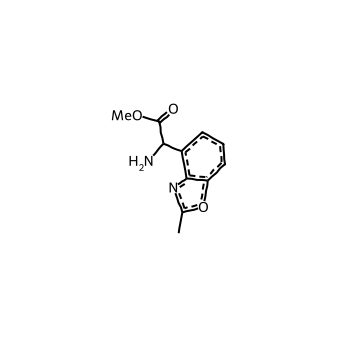 COC(=O)C(N)c1cccc2oc(C)nc12